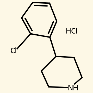 Cl.Clc1ccccc1C1CCNCC1